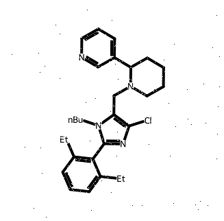 CCCCn1c(-c2c(CC)cccc2CC)nc(Cl)c1CN1CCCCC1c1cccnc1